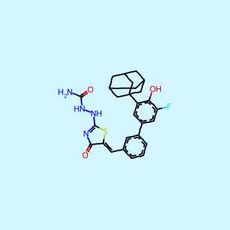 NC(=O)NNC1=NC(=O)C(=Cc2cccc(-c3cc(F)c(O)c(C45CC6CC(CC(C6)C4)C5)c3)c2)S1